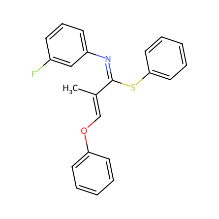 CC(=C\Oc1ccccc1)/C(=N\c1cccc(F)c1)Sc1ccccc1